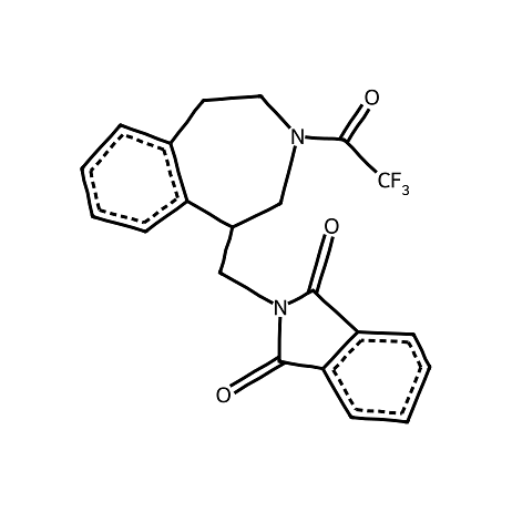 O=C1c2ccccc2C(=O)N1CC1CN(C(=O)C(F)(F)F)CCc2ccccc21